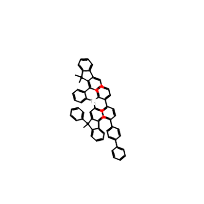 CC1(C)c2ccccc2-c2cccc(-c3ccccc3N(c3ccc4c(c3)C(C)(c3ccccc3)c3ccccc3-4)c3ccccc3-c3ccc(-c4ccc(-c5ccccc5)cc4)cc3)c21